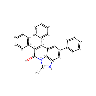 N#Cc1nc2cc(-c3ccccc3)cc3c(-c4ccccc4)c(-c4ccccc4)c(=O)n1c23